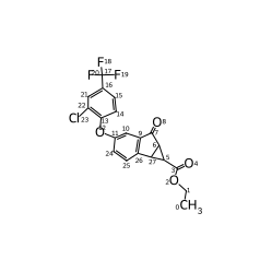 CCOC(=O)C1C2C(=O)c3cc(Oc4ccc(C(F)(F)F)cc4Cl)ccc3C12